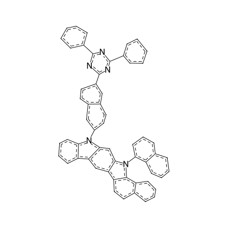 c1ccc(-c2nc(-c3ccccc3)nc(-c3ccc4cc(-n5c6ccccc6c6cc7c8ccc9ccccc9c8n(-c8cccc9ccccc89)c7cc65)ccc4c3)n2)cc1